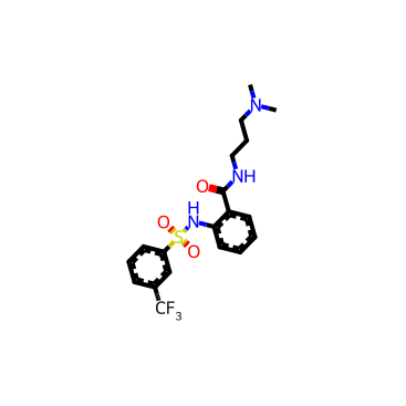 CN(C)CCCNC(=O)c1ccccc1NS(=O)(=O)c1cccc(C(F)(F)F)c1